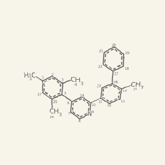 Cc1cc(C)c(-c2ccnc(-c3ccc(C)c(-c4ccccc4)c3)c2)c(C)c1